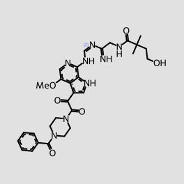 COc1cnc(N/C=N\C(=N)CNC(=O)C(C)(C)CCO)c2[nH]cc(C(=O)C(=O)N3CCN(C(=O)c4ccccc4)CC3)c12